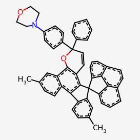 Cc1ccc2c(c1)C1(c3c4c(c5cc(C)ccc5c3-2)OC(c2ccccc2)(c2ccc(N3CCOCC3)cc2)C=C4)c2cccc3ccc4cccc1c4c23